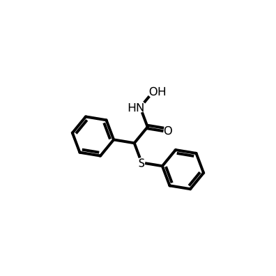 O=C(NO)C(Sc1ccccc1)c1ccccc1